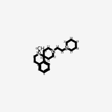 CN1CCc2ccccc2C12CCN(CCN1CCCCC1)CC2